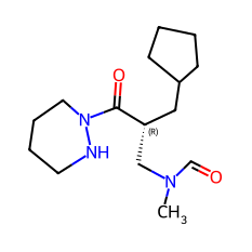 CN(C=O)C[C@@H](CC1CCCC1)C(=O)N1CCCCN1